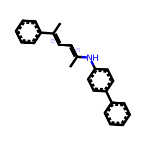 C/C(=C\C=C(/C)c1ccccc1)Nc1ccc(-c2ccccc2)cc1